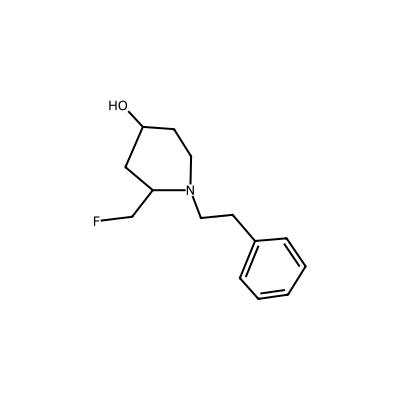 OC1CCN(CCc2ccccc2)C(CF)C1